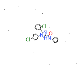 O=C(Nc1ccccc1)c1cn(-c2ccc(Cl)cc2)c(-c2ccccc2Cl)n1